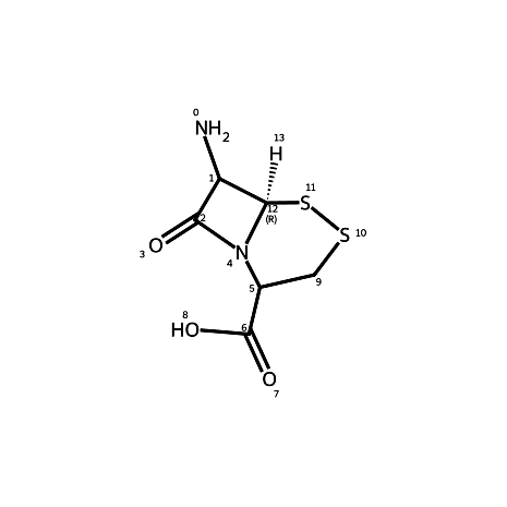 NC1C(=O)N2C(C(=O)O)CSS[C@H]12